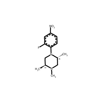 C[C@@H]1CN(C)[C@@H](C)CN1c1ccc([N+](=O)[O-])cc1F